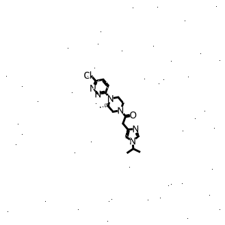 CC(C)n1cnc(CC(=O)N2CCN(c3ccc(Cl)nn3)[C@@H](C)C2)c1